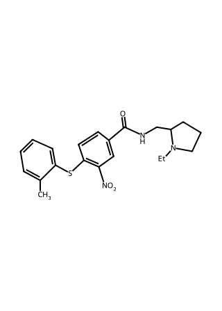 CCN1CCCC1CNC(=O)c1ccc(Sc2ccccc2C)c([N+](=O)[O-])c1